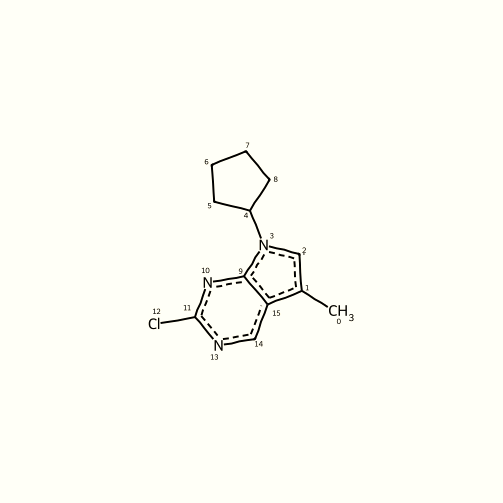 Cc1[c]n(C2CCCC2)c2nc(Cl)ncc12